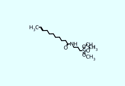 CC=CCCCCCCCC(=O)NCCC[Si](OC)(OC)OC